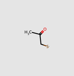 CC(=O)C[S]